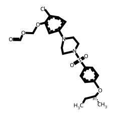 CC[C@@H](C)Oc1ccc(S(=O)(=O)N2CCN(c3ccc(Cl)c(OCOC=O)c3)CC2)cc1